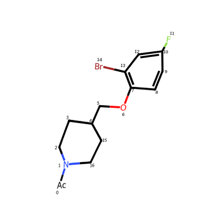 CC(=O)N1CCC(COc2ccc(F)cc2Br)CC1